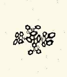 c1ccc(B2c3ccccc3Oc3c2ccc2c3-c3cc(N4c5ccccc5C(c5ccccc5)(c5ccccc5)c5ccccc54)ccc3C23c2ccc(N4c5ccccc5C(c5ccccc5)(c5ccccc5)c5ccccc54)cc2-c2c3ccc3c2Oc2ccccc2B3c2ccccc2)cc1